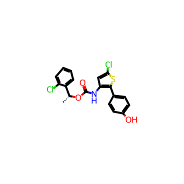 C[C@@H](OC(=O)Nc1cc(Cl)sc1-c1ccc(O)cc1)c1ccccc1Cl